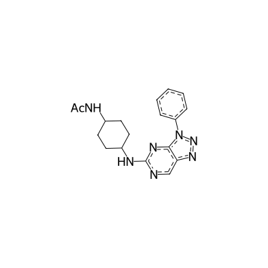 CC(=O)NC1CCC(Nc2ncc3nnn(-c4ccccc4)c3n2)CC1